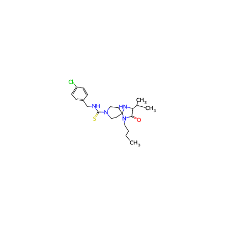 CCCCN1C(=O)C(C(C)C)NC12CCN(C(=S)NCc1ccc(Cl)cc1)CC2